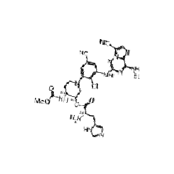 CCNc1nc(Nc2cc(C#N)cc(N3CC[C@@H](NC(=O)OC)[C@H](OC(=O)[C@@H](N)Cc4cnc[nH]4)C3)c2Cl)nn2c(C#N)cnc12